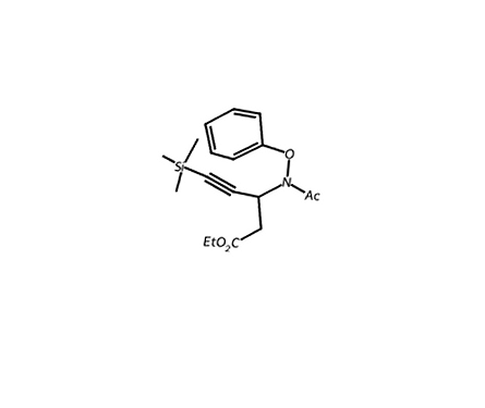 CCOC(=O)CC(C#C[Si](C)(C)C)N(Oc1ccccc1)C(C)=O